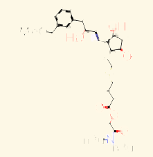 CCCCN(CCCC)C(=O)COC(=O)CCCSCC[C@H]1C(=O)C[C@@H](O)[C@@H]1/C=C/[C@@H](O)Cc1cccc(COC)c1